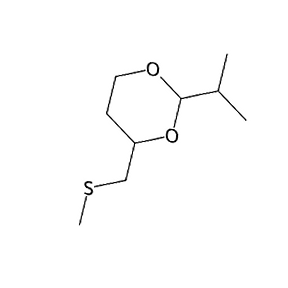 CSCC1CCOC(C(C)C)O1